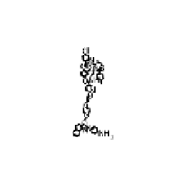 Cc1ccc(C(=O)N(CCCNC(=O)c2ccc(OCCCN3CCN(CCOc4ccc5ccccc5c4/N=N/c4ccc(N)cc4)CC3)nc2)[C@@H](c2nc3cc(Cl)ccc3c(=O)n2Cc2ccccc2)C(C)C)cc1